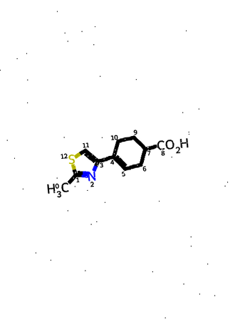 Cc1nc(C2=CCC(C(=O)O)CC2)cs1